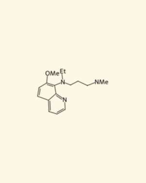 CCN(CCCNC)c1c(OC)ccc2cccnc12